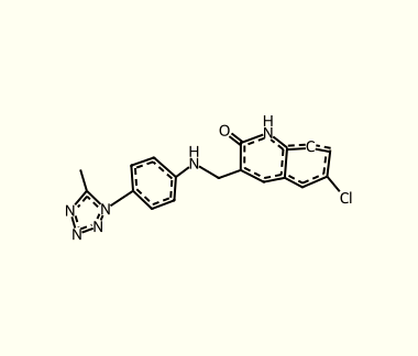 Cc1nnnn1-c1ccc(NCc2cc3cc(Cl)ccc3[nH]c2=O)cc1